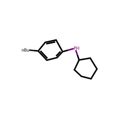 CCCCc1ccc(P[C]2CCCCC2)cc1